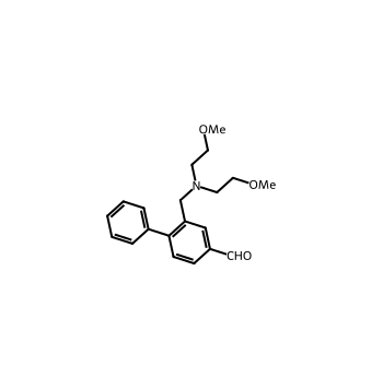 COCCN(CCOC)Cc1cc(C=O)ccc1-c1ccccc1